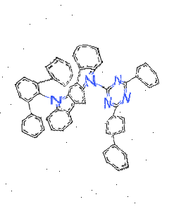 c1ccc(-c2ccc(-c3nc(-c4ccccc4)nc(-n4c5ccccc5c5cc6c(cc54)c4ccccc4n6-c4c(-c5ccccc5)cccc4-c4ccccc4)n3)cc2)cc1